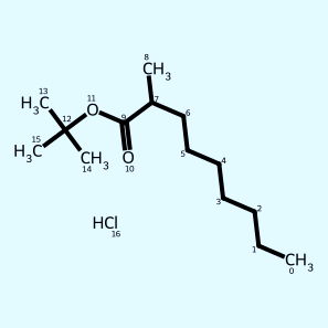 CCCCCCCC(C)C(=O)OC(C)(C)C.Cl